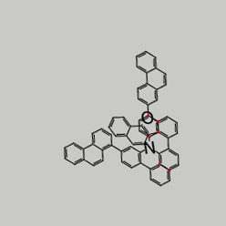 c1ccc(-c2ccc(-c3cccc4c3ccc3ccccc34)cc2N(c2ccc(-c3ccc4c(ccc5ccccc54)c3)cc2)c2ccccc2-c2cccc3oc4c5ccccc5ccc4c23)cc1